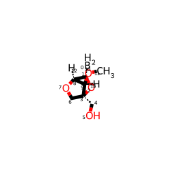 B[C@@H]1O[C@@]2(CO)CO[C@@H]1[C@@H]2OC